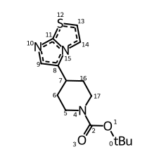 CC(C)(C)OC(=O)N1CCC(c2cnc3sccn23)CC1